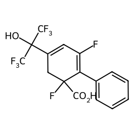 O=C(O)C1(F)CC(C(O)(C(F)(F)F)C(F)(F)F)=CC(F)=C1c1ccccc1